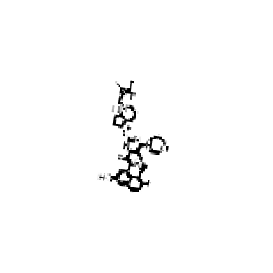 C#Cc1c(F)ccc2cc(O)cc(-c3ncc4c(N5CCCOCC5)nc(OC[C@]56CCC[C@H]5N(CC5[C@@H](C)C5(F)F)CCC6)nc4c3F)c12